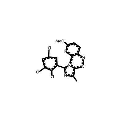 COc1ccc2nnc3c(C)nc(-c4cc(Cl)cc(Cl)c4Cl)n3c2n1